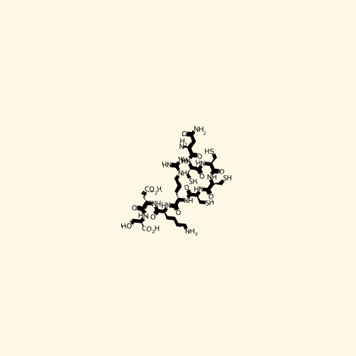 N=C(N)NCCC[C@H](NC(=O)[C@H](CS)NC(=O)[C@H](CS)NC(=O)[C@H](CS)NC(=O)[C@H](CS)NC(=O)[C@@H](N)CC(N)=O)C(=O)N[C@@H](CCCCN)C(=O)N[C@@H](CC(=O)O)C(=O)N[C@@H](CO)C(=O)O